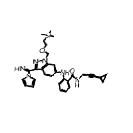 C[Si](C)(C)CCOCn1nc(C(=N)n2cccc2)c2ccc(Nc3ccccc3C(=O)NCC#CC3CC3)cc21